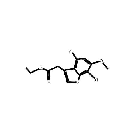 CCOC(=O)Cc1csc2c(Cl)c(OC)cc(Cl)c12